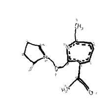 Cc1ccc(C(N)=O)c(ON2CCCC2)n1